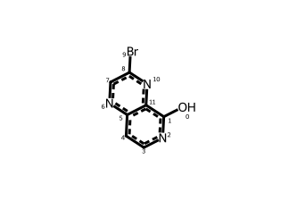 Oc1nccc2ncc(Br)nc12